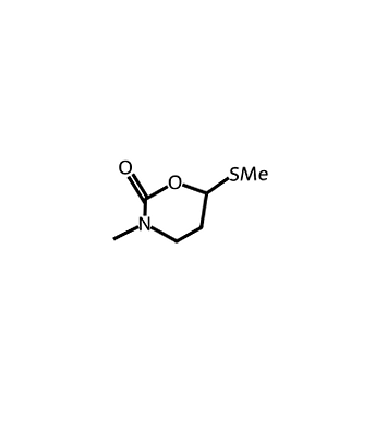 CSC1CCN(C)C(=O)O1